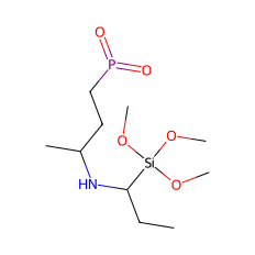 CCC(NC(C)CCP(=O)=O)[Si](OC)(OC)OC